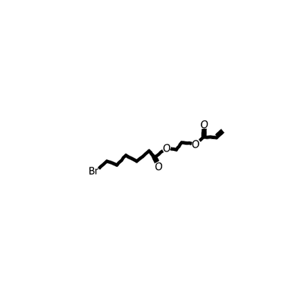 C=CC(=O)OCCOC(=O)CCCCCBr